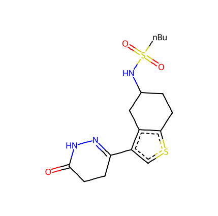 CCCCS(=O)(=O)NC1CCc2scc(C3=NNC(=O)CC3)c2C1